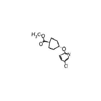 COC(=O)[C@H]1CC[C@H](Oc2ccc(Cl)cn2)CC1